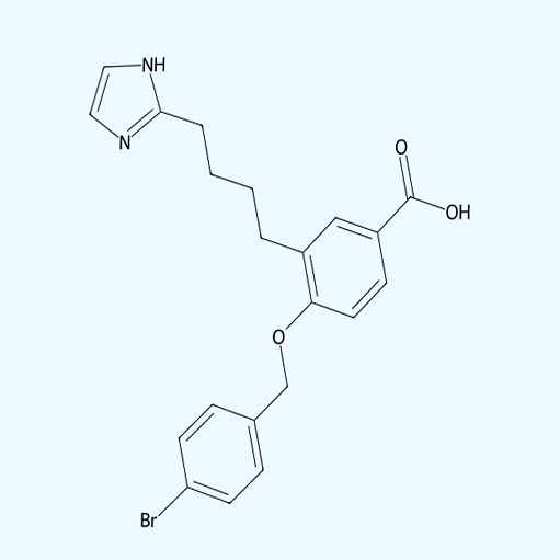 O=C(O)c1ccc(OCc2ccc(Br)cc2)c(CCCCc2ncc[nH]2)c1